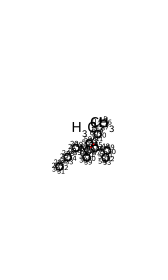 CC1(C)c2ccccc2-c2ccc(-c3ccc(N(c4cccc(-c5ccc(-c6ccccc6)cc5)c4)c4ccccc4-c4cccc(-c5cccc6ccccc56)c4)cc3)cc21